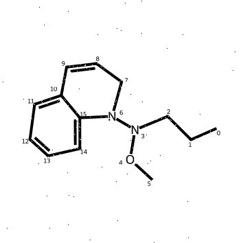 CCCN(OC)N1CC=Cc2ccccc21